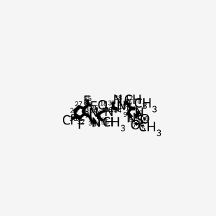 Cc1nc(S(C)(=O)=O)ncc1[C@H](C)n1cc(NC(=O)c2nc(-c3c(C(F)F)ccc(Cl)c3F)cnc2C)cn1